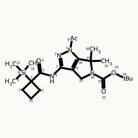 CC(=O)n1nc(NC(=O)C2([Si](C)(C)C)CCC2)c2c1C(C)(C)N(C(=O)OC(C)(C)C)C2